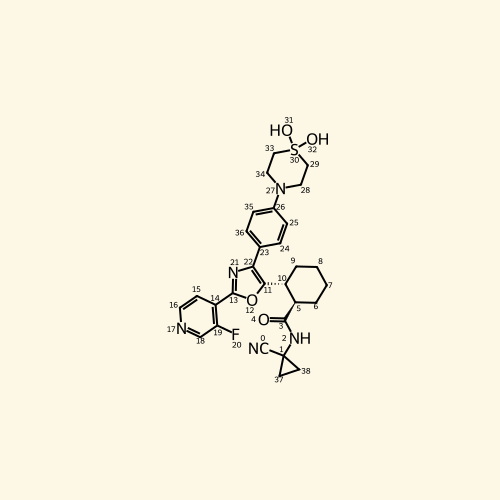 N#CC1(NC(=O)[C@@H]2CCCC[C@H]2c2oc(-c3ccncc3F)nc2-c2ccc(N3CCS(O)(O)CC3)cc2)CC1